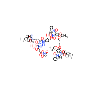 B[C@H](NC(=O)CCC(=O)ON1C(=O)CCC1=O)C(=O)N[C@@H](CCCCNC(=O)OC(C)(C)C)C(=O)Nc1ccc(COC(=O)N2c3cc(OCCCCCOc4cc5c(cc4OC)C(=O)N4c6ccccc6C[C@H]4CN5C(=O)OC(C)(C)C)c(OC)cc3C(=O)N3c4ccccc4C[C@H]3C2O)cc1